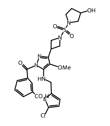 COc1c(C2CN(S(=O)(=O)N3CCC(O)C3)C2)nn(C(=O)c2cccc(C(=O)O)c2)c1NCc1ccc(Cl)s1